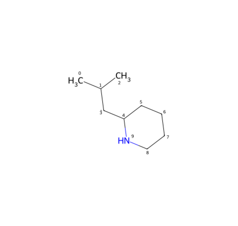 CC(C)[CH]C1CCCCN1